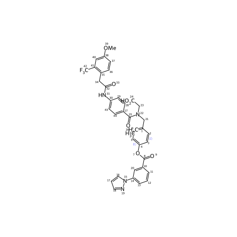 C=C(/C=C\C(=C/C)OC(=O)c1cccc(-n2cccn2)c1)CN(CC(=O)O)C(=O)c1ccc(NC(=O)Cc2ccc(OC)cc2C(F)(F)F)cc1